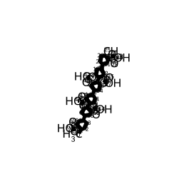 Cc1ccc(-c2ccc(-c3ccc(-c4ccc(-c5ccc(-c6ccc(C)c(S(=O)(=O)O)c6)cc5S(=O)(=O)O)c(S(=O)(=O)O)c4)cc3S(=O)(=O)O)c(S(=O)(=O)O)c2)cc1S(=O)(=O)O